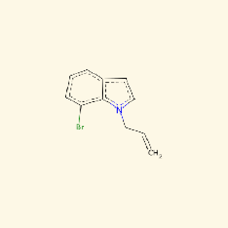 C=CCn1ccc2cccc(Br)c21